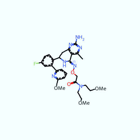 COCCN(CCOC)C(=O)CO/N=C1\NC(c2ccc(F)cc2-c2cccc(OC)n2)Cc2nc(N)nc(C)c21